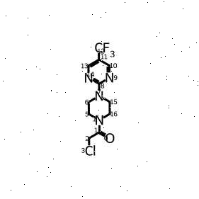 O=C(CCl)N1CCN(c2ncc(C(F)(F)F)cn2)CC1